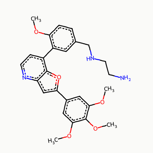 COc1ccc(CNCCN)cc1-c1ccnc2cc(-c3cc(OC)c(OC)c(OC)c3)oc12